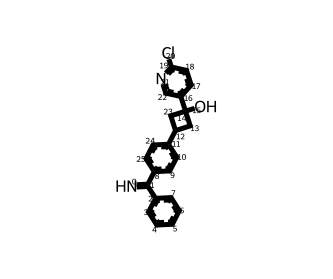 N=C(c1ccccc1)c1ccc(C2CC(O)(c3ccc(Cl)nc3)C2)cc1